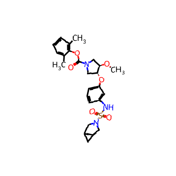 CO[C@@H]1CN(C(=O)Oc2c(C)cccc2C)C[C@H]1Oc1cccc(NS(=O)(=O)N2CC3CC3C2)c1